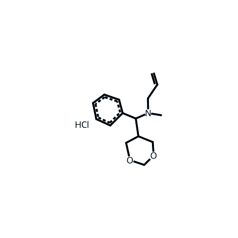 C=CCN(C)C(c1ccccc1)C1COCOC1.Cl